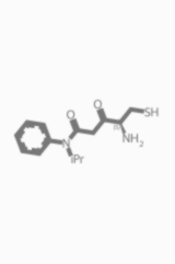 CC(C)N(C(=O)CC(=O)[C@H](N)CS)c1ccccc1